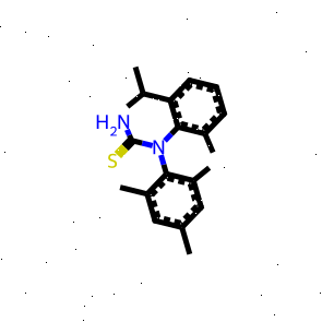 Cc1cc(C)c(N(C(N)=S)c2c(C)cccc2C(C)C)c(C)c1